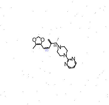 C=C(/C=C\C1=C(C)OCO1)[C@H](C)N1CCN(c2ncccn2)CC1